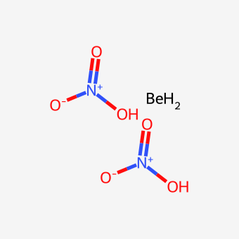 O=[N+]([O-])O.O=[N+]([O-])O.[BeH2]